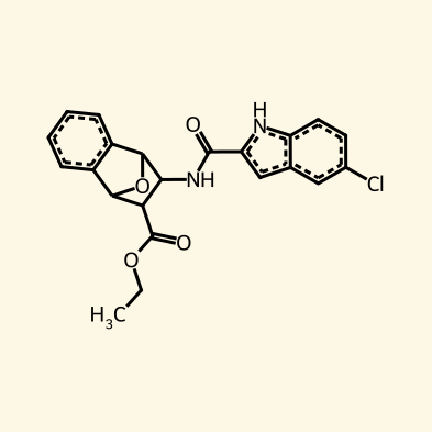 CCOC(=O)C1C2OC(c3ccccc32)C1NC(=O)c1cc2cc(Cl)ccc2[nH]1